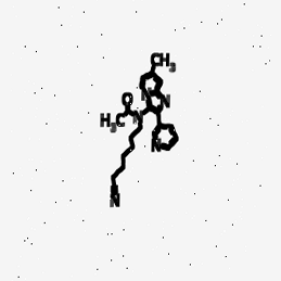 CC(=O)N(CCCCCCC#N)c1c(-c2cccnc2)nc2cc(C)ccn12